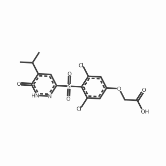 CC(C)c1cc(S(=O)(=O)c2c(Cl)cc(OCC(=O)O)cc2Cl)n[nH]c1=O